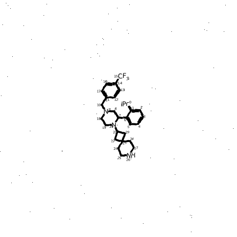 CC(C)c1ccccc1C1CN(Cc2ccc(C(F)(F)F)cc2)CCN1C1CC2(CCNCC2)C1